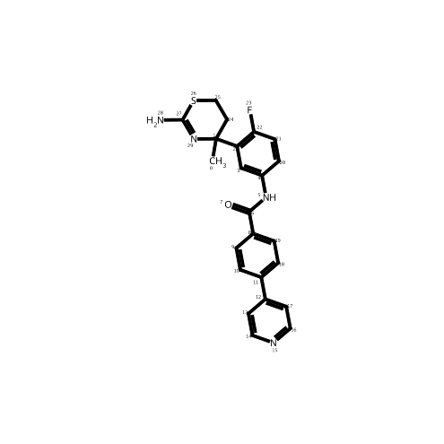 CC1(c2cc(NC(=O)c3ccc(-c4ccncc4)cc3)ccc2F)CCSC(N)=N1